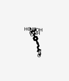 C[C@@H](O)[C@H](NC(=O)c1ccc(C#CC=CC2CN(C=O)C2)cc1)C(=O)NO